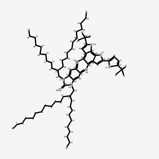 CCCCCCCCCCCCC(CCCCCCCCCC)Cn1c(=O)n(CC(CCCCCCCCCC)CCCCCCCCCCCC)c2cc3nc4c5cc(C(C)(C)C)sc5c5sc(-c6ccc(C(C)(C)C)s6)cc5c4nc3cc21